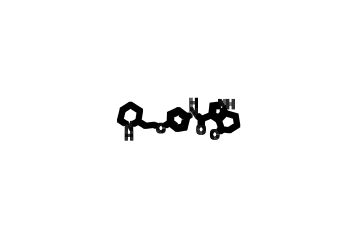 O=C(Nc1ccc(OCCC2CCCCN2)cc1)c1c[nH]c2c1C(=O)CCC2